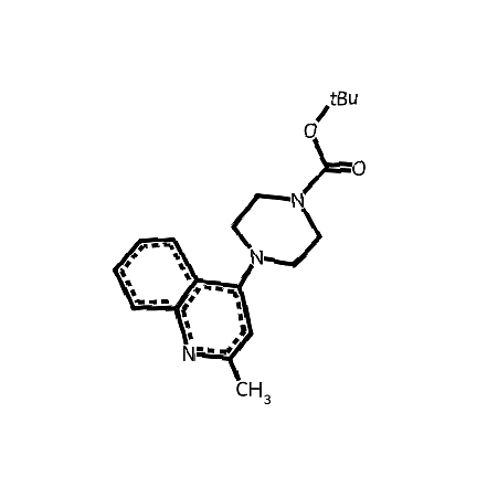 Cc1cc(N2CCN(C(=O)OC(C)(C)C)CC2)c2ccccc2n1